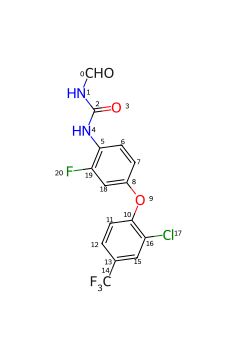 O=CNC(=O)Nc1ccc(Oc2ccc(C(F)(F)F)cc2Cl)cc1F